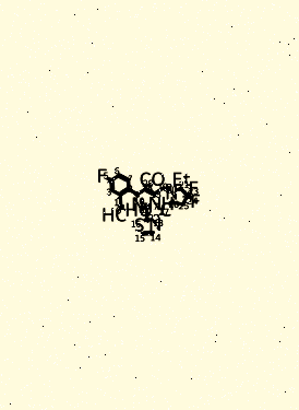 C#Cc1cc(F)ccc1C1N=C(c2nccs2)NC(CN2CC(F)(F)C[C@H]2C(=O)O)=C1C(=O)OCC